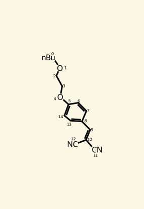 CCCCOCCOc1ccc(C=C(C#N)C#N)cc1